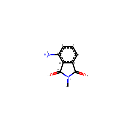 CN1C(=O)c2cccc(N)c2C1=O